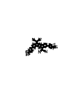 N#CC(C#N)=C1c2cc(-c3ccc(C(F)(F)F)cc3)ccc2-c2nc3c(nc21)-c1cc(-c2ccc(C(F)(F)F)cc2)ccc1C3=C(C#N)C#N